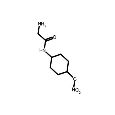 NCC(=O)NC1CCC(O[N+](=O)[O-])CC1